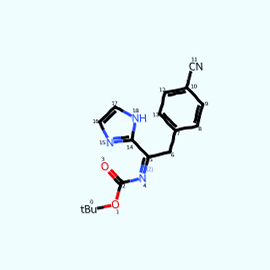 CC(C)(C)OC(=O)/N=C(/Cc1ccc(C#N)cc1)c1ncc[nH]1